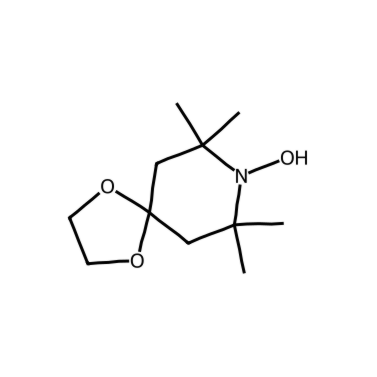 CC1(C)CC2(CC(C)(C)N1O)OCCO2